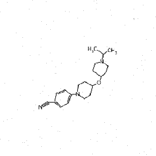 CC(C)N1CCC(OC2CCN(c3ccc(C#N)cc3)CC2)CC1